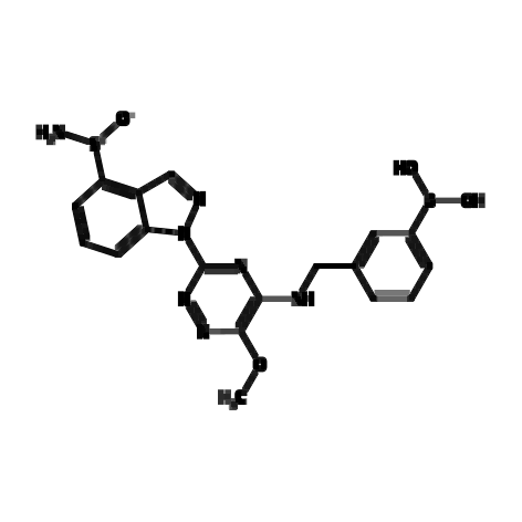 COc1nnc(-n2ncc3c([S+](N)[O-])cccc32)nc1NCc1cccc(B(O)O)c1